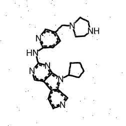 c1cc2c3cnc(Nc4ccc(CN5CCNCC5)cn4)nc3n(C3CCCC3)c2cn1